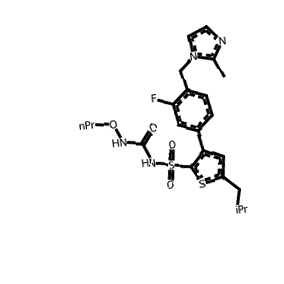 CCCONC(=O)NS(=O)(=O)c1sc(CC(C)C)cc1-c1ccc(Cn2ccnc2C)c(F)c1